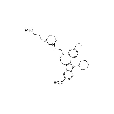 COCCC[C@@H]1CCCN(CCN2CCn3c(c(C4CCCCC4)c4ccc(C(=O)O)cc43)-c3ccc(C)cc32)C1